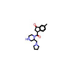 Cc1ccc2c(c1)C(=O)CC2C(=O)N1CCNCC1CN1CCCC1